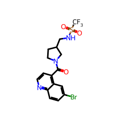 O=C(c1ccnc2ccc(Br)cc12)N1CCC(CNS(=O)(=O)C(F)(F)F)C1